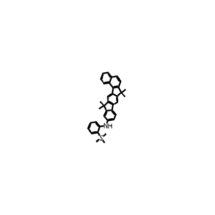 CC1(C)c2cc(Nc3ccccc3S(C)(C)C)ccc2-c2cc3c(cc21)-c1c(ccc2ccccc12)C3(C)C